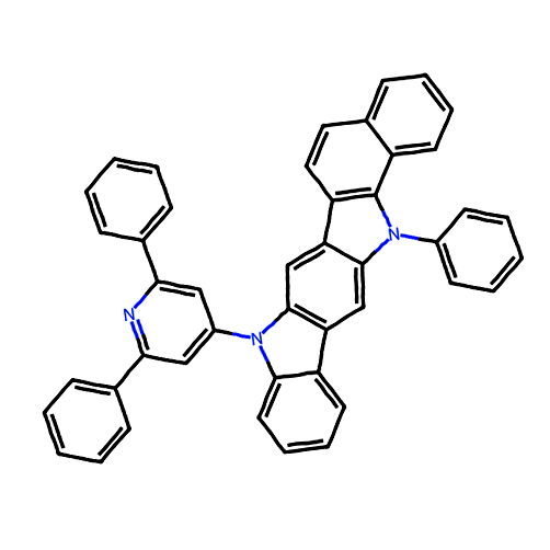 c1ccc(-c2cc(-n3c4ccccc4c4cc5c(cc43)c3ccc4ccccc4c3n5-c3ccccc3)cc(-c3ccccc3)n2)cc1